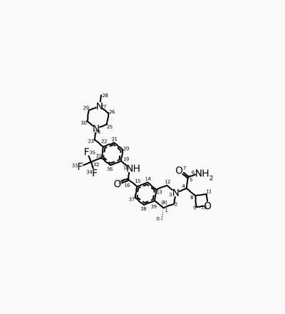 C[C@H]1CN(C(C(N)=O)C2COC2)Cc2cc(C(=O)Nc3ccc(CN4CCN(C)CC4)c(C(F)(F)F)c3)ccc21